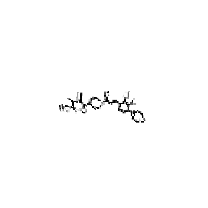 CC(NC(=O)C1CCN(C(=O)C=Cc2ccc(N3CCOCC3)c(Cl)c2Cl)CC1)C(=O)O